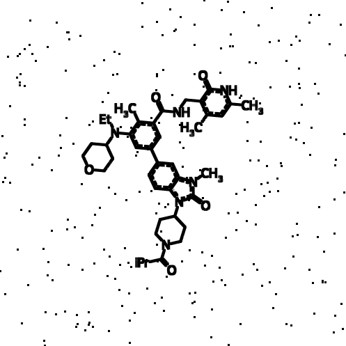 CCN(c1cc(-c2ccc3c(c2)n(C)c(=O)n3C2CCN(C(=O)C(C)C)CC2)cc(C(=O)NCc2c(C)cc(C)[nH]c2=O)c1C)C1CCOCC1